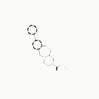 CC(C)(C)OC(=O)N1CCN2Cc3ccc(-c4ccccc4)cc3OCC2C1